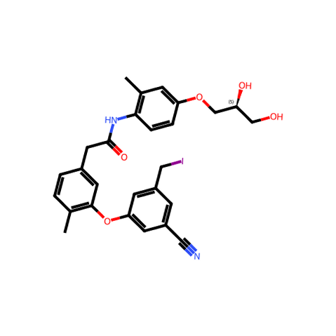 Cc1cc(OC[C@@H](O)CO)ccc1NC(=O)Cc1ccc(C)c(Oc2cc(C#N)cc(CI)c2)c1